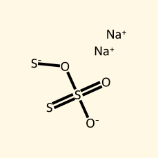 O=S([O-])(=S)O[S-].[Na+].[Na+]